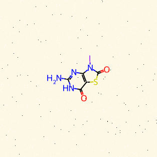 Nc1nc2c(sc(=O)n2I)c(=O)[nH]1